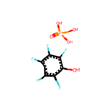 O=P(O)(O)O.Oc1c(F)c(F)c(F)c(F)c1F